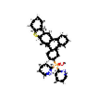 O=P(c1ccc2c(c1)c1ccccc1c1cc3c(cc21)sc1ccccc13)(c1ccccn1)c1ccccn1